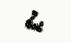 c1ccc(-c2nc(-c3ccc(-c4ccc5ccc6ccc(-c7ccc(-c8ccc9ccc%10cccc%11ccc8c9c%10%11)cc7)nc6c5n4)cc3)nc3ccccc23)cc1